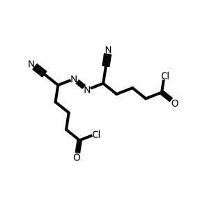 N#CC(CCCC(=O)Cl)N=NC(C#N)CCCC(=O)Cl